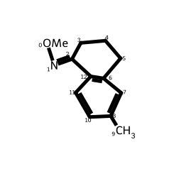 CO/N=C1\CCCc2cc(C)ccc21